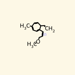 C=CC1C=CC(C)=CC=C1/C=C\COC